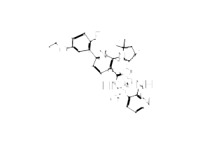 CCOc1ccc(F)c(-c2ccc(C(=O)NS(=O)(=O)c3cccnc3N)c(N3C[C@@H](C)CC3(C)C)n2)c1